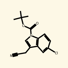 CC(C)(C)OC(=O)n1cc(CC#N)c2cc(Cl)ccc21